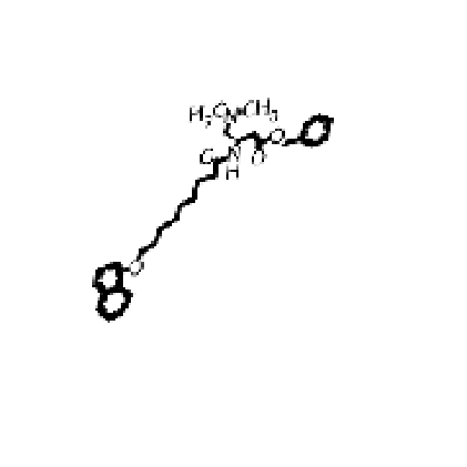 CN(C)C[C@@H](CC(=O)OCc1ccccc1)NC(=O)CCCCCCCCOc1cccc2ccccc12